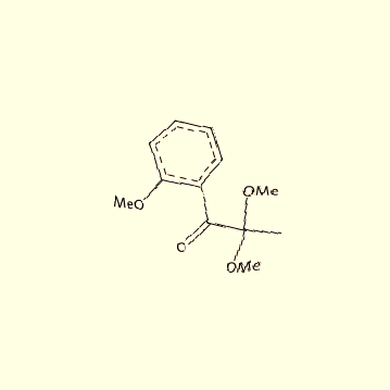 COc1ccccc1C(=O)C(C)(OC)OC